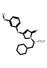 O=C(O)[C@H](CC1CCCCC1)N1CC(Oc2cccc(OC(F)(F)F)c2)=CC1=O